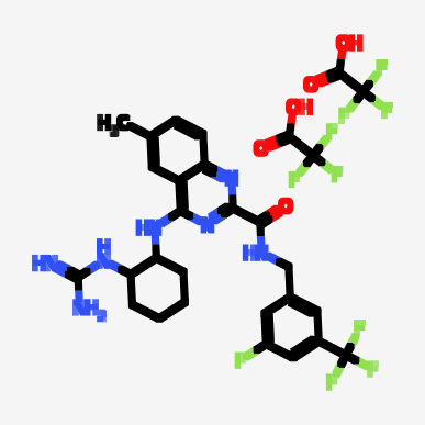 Cc1ccc2nc(C(=O)NCc3cc(F)cc(C(F)(F)F)c3)nc(NC3CCCCC3NC(=N)N)c2c1.O=C(O)C(F)(F)F.O=C(O)C(F)(F)F